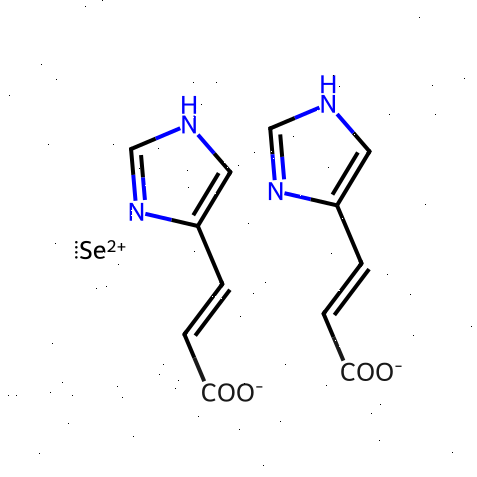 O=C([O-])C=Cc1c[nH]cn1.O=C([O-])C=Cc1c[nH]cn1.[Se+2]